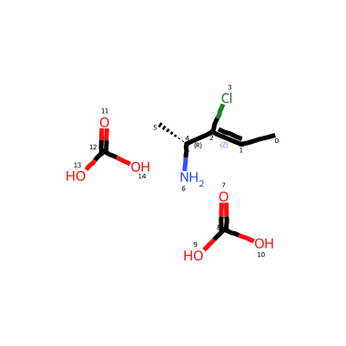 C/C=C(\Cl)[C@@H](C)N.O=C(O)O.O=C(O)O